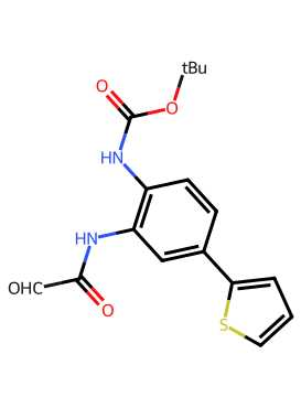 CC(C)(C)OC(=O)Nc1ccc(-c2cccs2)cc1NC(=O)C=O